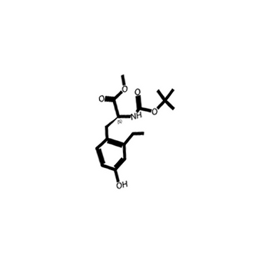 CCc1cc(O)ccc1C[C@H](NC(=O)OC(C)(C)C)C(=O)OC